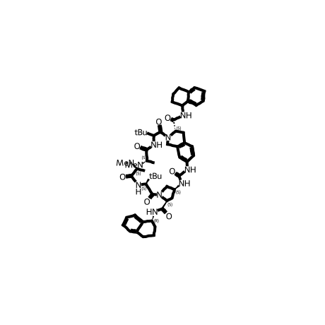 CN[C@@H](C)C(=O)NC(C(=O)N1Cc2cc(NC(=O)N[C@H]3C[C@@H](C(=O)N[C@@H]4CCCc5ccccc54)N(C(=O)[C@@H](NC(=O)[C@H](C)NC)C(C)(C)C)C3)ccc2C[C@H]1C(=O)NC1CCCc2ccccc21)C(C)(C)C